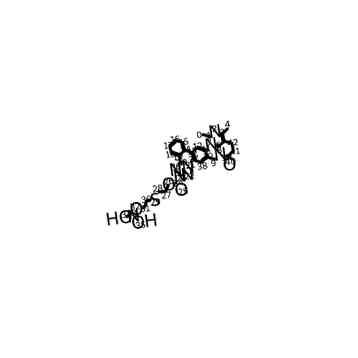 Cc1nc(C)c2c(n1)N(Cc1ccc(-c3ccccc3-c3nnn(C(=O)OCCSCCON(O)O)n3)cc1)C(=O)CC2